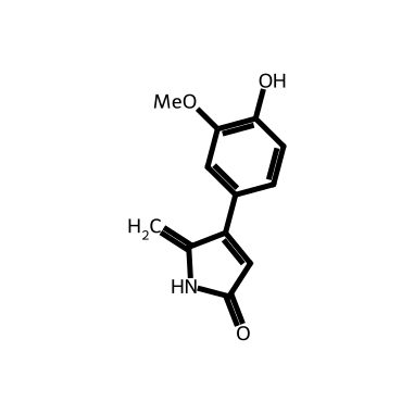 C=C1NC(=O)C=C1c1ccc(O)c(OC)c1